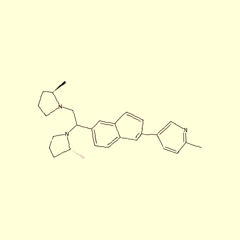 Cc1ccc(-c2ccc3cc(C(CN4CCC[C@H]4C)N4CCC[C@H]4C)ccc3c2)cn1